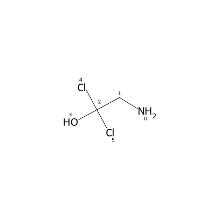 NCC(O)(Cl)Cl